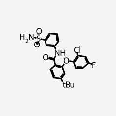 CC(C)(C)c1ccc(C(=O)Nc2cccc(S(N)(=O)=O)c2)c(Oc2ccc(F)cc2Cl)c1